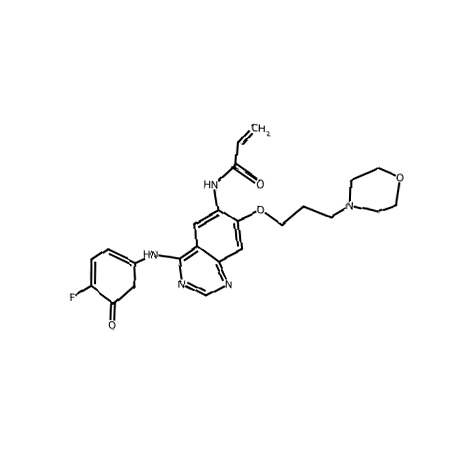 C=CC(=O)Nc1cc2c(NC3=CC=C(F)C(=O)C3)ncnc2cc1OCCCN1CCOCC1